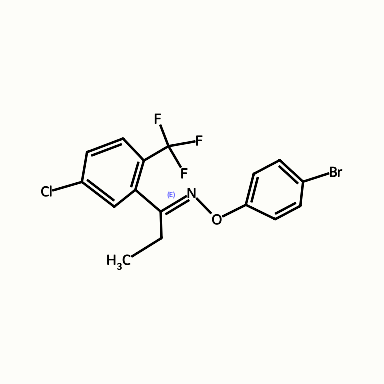 CC/C(=N\Oc1ccc(Br)cc1)c1cc(Cl)ccc1C(F)(F)F